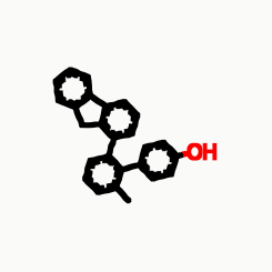 Cc1cccc(-c2cccc3c2Cc2ccccc2-3)c1-c1ccc(O)cc1